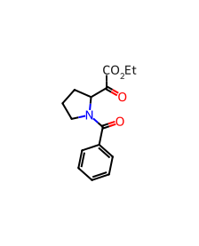 CCOC(=O)C(=O)C1CCCN1C(=O)c1ccccc1